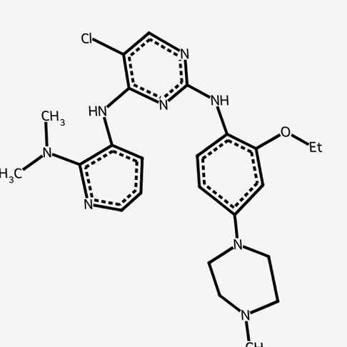 CCOc1cc(N2CCN(C)CC2)ccc1Nc1ncc(Cl)c(Nc2cccnc2N(C)C)n1